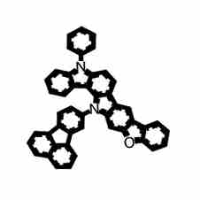 c1ccc(-n2c3ccccc3c3c2ccc2c4cc5c(cc4n(-c4ccc6c(c4)-c4cccc7cccc-6c47)c23)oc2ccccc25)cc1